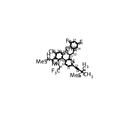 CSNc1nn(CC(F)(F)F)c2c(-c3ccc(C#CC(C)(C)SC)nc3C(Cc3cc(F)cc(F)c3)NC=O)ccc(Cl)c12